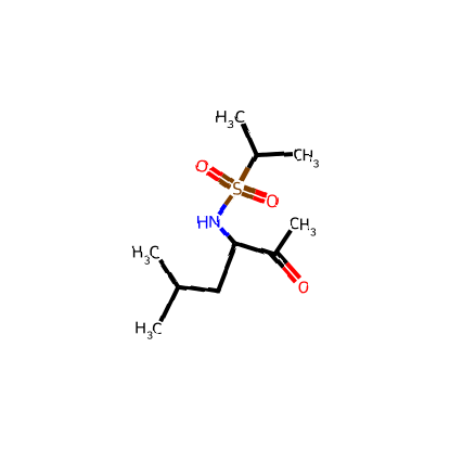 CC(=O)C(CC(C)C)NS(=O)(=O)C(C)C